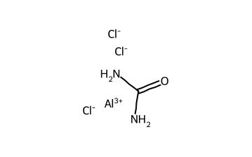 NC(N)=O.[Al+3].[Cl-].[Cl-].[Cl-]